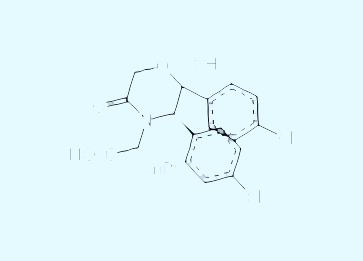 CCC[C@H](C(=O)O)N1C(=O)CO[C@@](C)(c2ccc(Cl)cc2)[C@H]1c1ccc(Cl)cc1